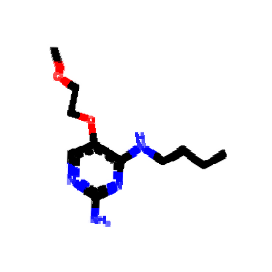 CCCCNc1nc(N)ncc1OCCOC